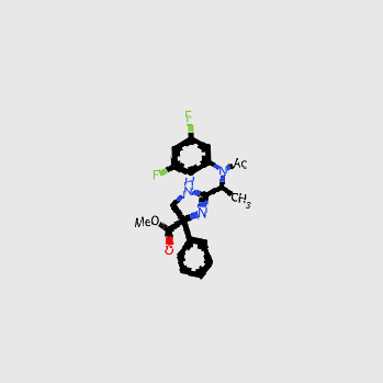 COC(=O)C1(c2ccccc2)CNC(C(C)N(C(C)=O)c2cc(F)cc(F)c2)=N1